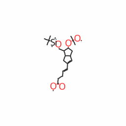 COC(=O)CCC=CC1=CC2CC(OC(C)(C)OC)C(CO[Si](C)(C)C(C)(C)C)C2C1